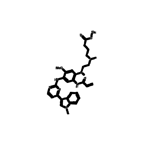 C=CC(=O)Nc1cc(Nc2nccc(-c3cn(C)c4ccccc34)n2)c(OC)cc1N(C)CCN(C)CCCC(=O)OC(C)(C)C